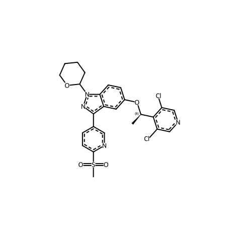 C[C@@H](Oc1ccc2c(c1)c(-c1ccc(S(C)(=O)=O)nc1)nn2C1CCCCO1)c1c(Cl)cncc1Cl